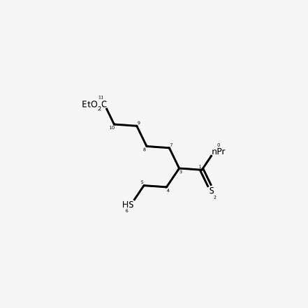 CCCC(=S)C(CCS)CCCCC(=O)OCC